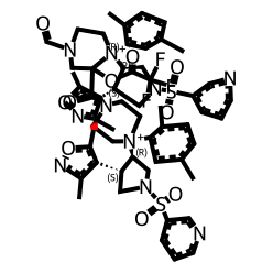 Cc1ccc(C)c([N+]2([C@H]3CN(S(=O)(=O)c4cccnc4)C[C@@H]3c3c(C)noc3C)CCN(C(=O)C3(OC(=O)C(F)(F)F)CN(C=O)CC[N@+]3(c3cc(C)ccc3C)[C@H]3CN(S(=O)(=O)c4cccnc4)C[C@@H]3c3c(C)noc3C)CC2)c1